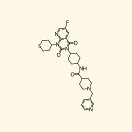 O=C(NC1CCC(n2c(=O)c3cc(F)cnc3n(C3CCSCC3)c2=O)CC1)C1CCN(Cc2cccnc2)CC1